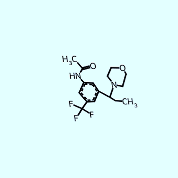 CCC(c1cc(NC(C)=O)cc(C(F)(F)F)c1)N1CCOCC1